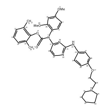 COc1ccc(N(C(=O)Oc2c(C)cccc2C)c2ccnc(Nc3ccc(OCCN4CCCCC4)cc3)n2)c(OC)c1